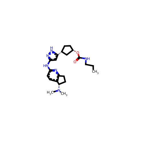 CCCNC(=O)O[C@H]1CC[C@@H](c2cc(Nc3ccc4c(n3)CC[C@@H]4N(C)C)n[nH]2)C1